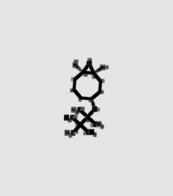 CC(C)(C)[Si](C)(C)O[C@@H]1CCC[C@H]2O[C@H]2CC1